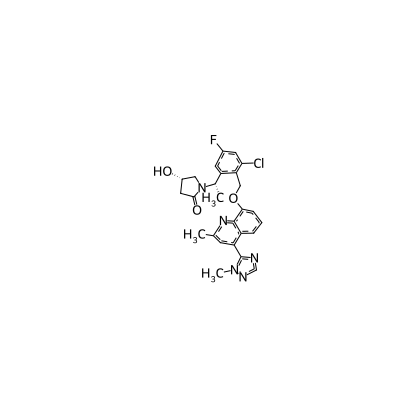 Cc1cc(-c2ncnn2C)c2cccc(OCc3c(Cl)cc(F)cc3[C@H](C)N3C[C@@H](O)CC3=O)c2n1